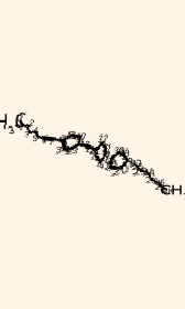 CCCCCCC#Cc1ccc(C#Cc2ccc([C@H]3CC[C@H](CCCCCCC)CC3)cc2)cc1